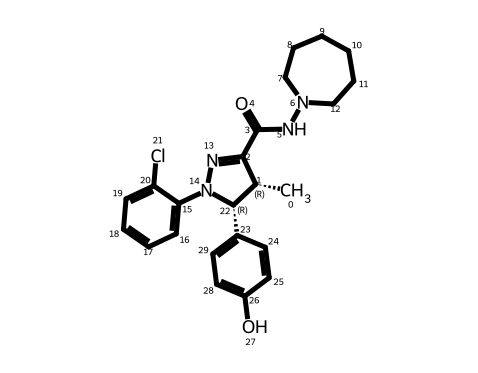 C[C@H]1C(C(=O)NN2CCCCCC2)=NN(c2ccccc2Cl)[C@H]1c1ccc(O)cc1